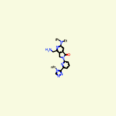 CCCn1cnnc1-c1cccc(N2Cc3c(cc(N(CC)C(C)C)nc3CN)C2=O)n1